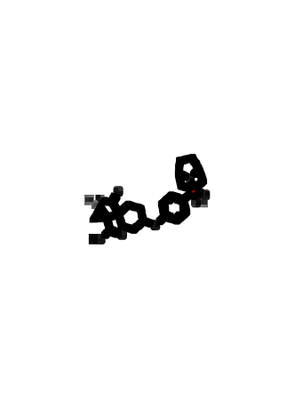 NC(=O)C1(C2(C(=O)O)CC2)CCC(Oc2ccc(C(=O)N3C4CCC3CC(O)C4)cc2)CC1